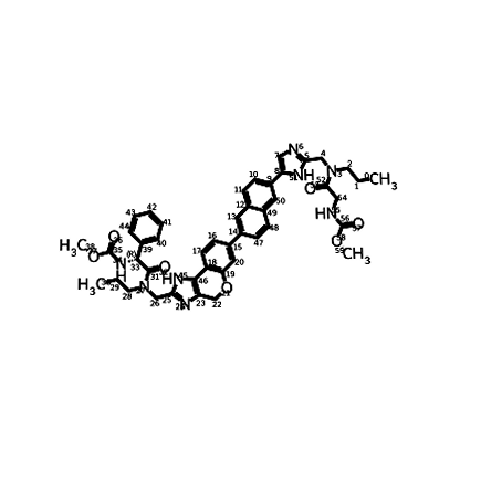 CCCN(Cc1ncc(-c2ccc3cc(-c4ccc5c(c4)OCc4nc(CN(CCC)C(=O)[C@H](NC(=O)OC)c6ccccc6)[nH]c4-5)ccc3c2)[nH]1)C(=O)CNC(=O)OC